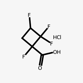 Cl.O=C(O)C1(F)CC(F)C1(F)F